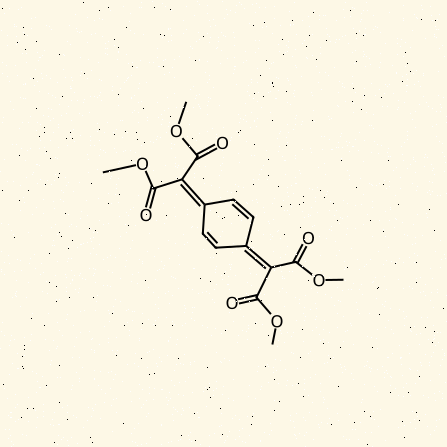 COC(=O)C(C(=O)OC)=c1ccc(=C(C(=O)OC)C(=O)OC)cc1